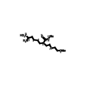 COCCOCCN(CCCCC(N)C(=O)O)C(=O)OC(C)(C)C